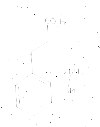 CCCN.O=C(O)CCc1ccccc1